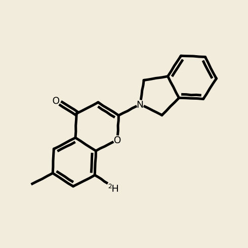 [2H]c1cc(C)cc2c(=O)cc(N3Cc4ccccc4C3)oc12